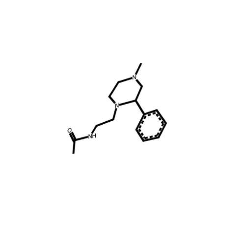 CC(=O)NCCN1CCN(C)CC1c1ccccc1